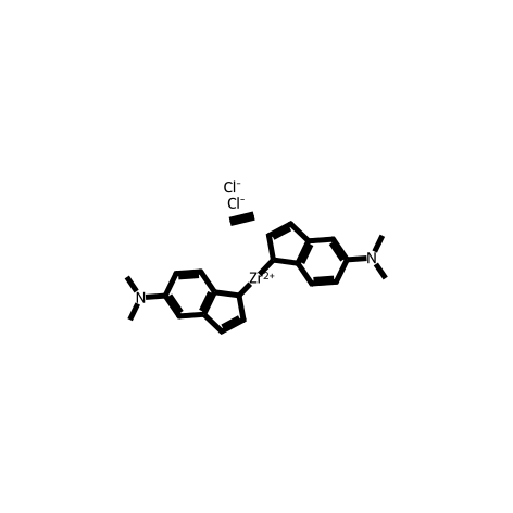 C=C.CN(C)c1ccc2c(c1)C=C[CH]2[Zr+2][CH]1C=Cc2cc(N(C)C)ccc21.[Cl-].[Cl-]